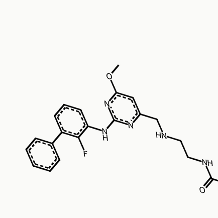 COc1cc(CNCCNC(C)=O)nc(Nc2cccc(-c3ccccc3)c2F)n1